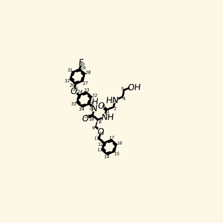 O=C(CNCCO)N[C@@H](COCc1ccccc1)C(=O)Nc1ccc(Oc2ccc(F)cc2)cc1